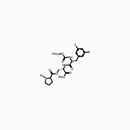 CCCCCCOC(=O)N[C@@H](Cc1cc(F)cc(F)c1)C(=O)N[C@@H](COC(=O)C1CCCN1C(C)=O)C(=O)OC